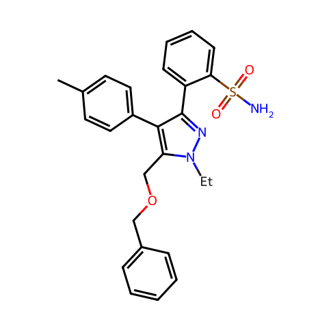 CCn1nc(-c2ccccc2S(N)(=O)=O)c(-c2ccc(C)cc2)c1COCc1ccccc1